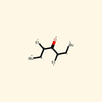 CCC(C)CC(CC)C(=O)C(CC)CC(C)CC